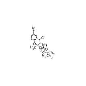 CC(C)(C)OC(=O)N[C@H]1[C@H](Cl)c2cc(C#N)ccc2OC1(C)C